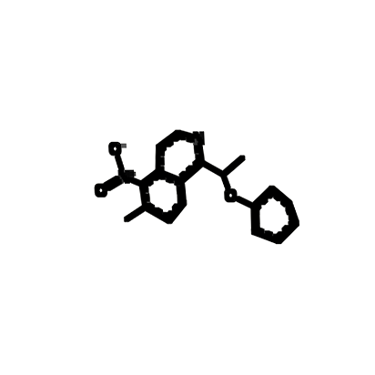 Cc1ccc2c(C(C)Oc3ccccc3)nccc2c1[N+](=O)[O-]